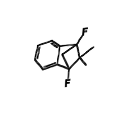 CC1(C)C2(F)CC1(F)c1ccccc12